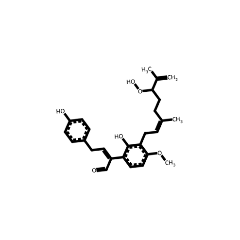 C=C(C)C(CCC(C)=CCc1c(OC)ccc(C(C=O)=CCc2ccc(O)cc2)c1O)OO